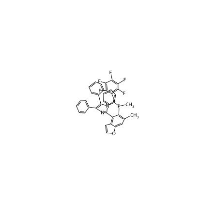 Cc1cc2occc2c(-c2nc(-c3ccccc3)c(-c3ccccc3)n2Cc2c(F)c(F)c(F)c(F)c2F)c1P(C)c1ccccc1